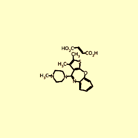 Cc1sc2c(c1C)C(N1CCN(C)CC1)=Nc1ccccc1O2.O=C(O)C=CC(=O)O